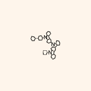 C1=CCCC(n2c3ccccc3c3cc4c5ccccc5n(-c5ccc6c(c5)c5ccccc5n6-c5ccc(-c6ccccc6)cc5)c4cc32)=C1